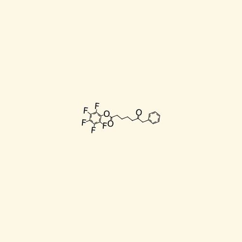 O=C(CCCCC(=O)Oc1c(F)c(F)c(F)c(F)c1F)Cc1ccccc1